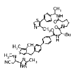 C=NC(CC#N)c1nnc(C)n1-c1sc(C)c(C)c1Cc1ccc(-c2ccc(C(=O)NC(C(=O)N3CCCC3C(=O)NC(C)c3ccc(-c4scnc4C)cc3)C(C)(C)C)cc2)cc1